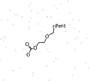 CCCCCCOCCOC([O])=O